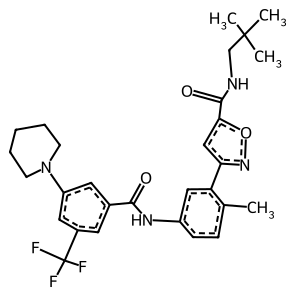 Cc1ccc(NC(=O)c2cc(N3CCCCC3)cc(C(F)(F)F)c2)cc1-c1cc(C(=O)NCC(C)(C)C)on1